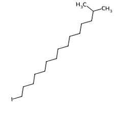 CC(C)CCCCCCCCCCCCCI